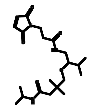 CC(C)NC(=O)CC(C)(C)COC(CNC(=O)CCN1C(=O)C=CC1=O)C(C)C